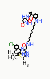 Cc1sc2c(c1C)C(c1ccc(Cl)cc1)=N[C@@H](CC(=O)NCCCCCCCCCCCNc1cccc(C3(C(=O)NC4CCC(=O)NC4=O)CC3)c1)c1nnc(C)n1-2